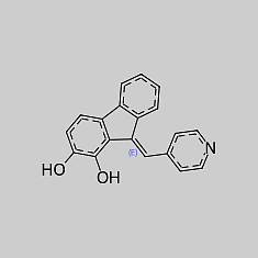 Oc1ccc2c(c1O)/C(=C/c1ccncc1)c1ccccc1-2